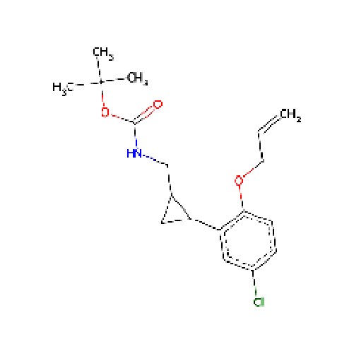 C=CCOc1ccc(Cl)cc1C1CC1CNC(=O)OC(C)(C)C